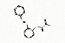 C=C(C)C(=O)Nc1ccccc1N=Nc1ccccc1